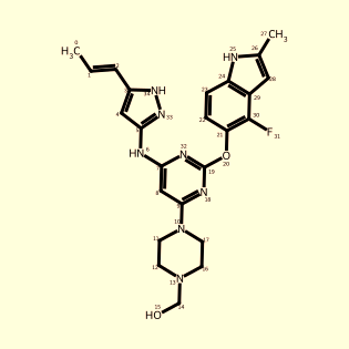 C/C=C/c1cc(Nc2cc(N3CCN(CO)CC3)nc(Oc3ccc4[nH]c(C)cc4c3F)n2)n[nH]1